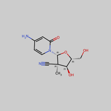 C[C@@]1(C#N)[C@H](O)[C@@H](CO)O[C@H]1n1ccc(N)cc1=O